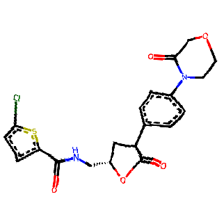 O=C(NC[C@@H]1CC(c2ccc(N3CCOCC3=O)cc2)C(=O)O1)c1ccc(Cl)s1